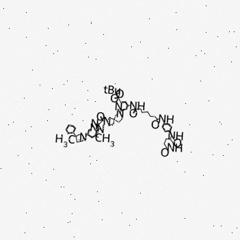 Cc1cc(N2CC[C@](C)(c3ccccc3)C2)cn2nc(C(=O)N3CC[C@@]4(CCN(c5cc(NC(=O)CCCCCC(=O)Nc6ccc(NC7CCC(=O)NC7=O)cc6)cc(C(=O)OC(C)(C)C)n5)C4)C3)nc12